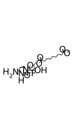 COC(=O)CCCCCCCC(=O)OCC1OC(N2C=CC(N)NC2=O)C(F)(F)C1O